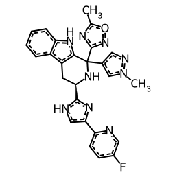 Cc1nc(C2(c3cnn(C)c3)N[C@@H](c3nc(-c4ccc(F)cn4)c[nH]3)Cc3c2[nH]c2ccccc32)no1